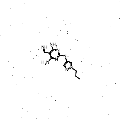 CCCn1cc(Nc2nc(N)c(C=N)c(N)n2)cn1